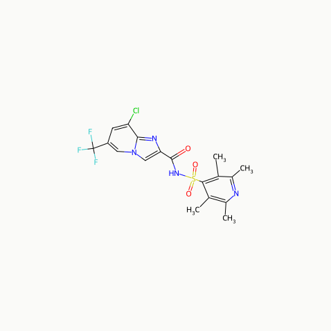 Cc1nc(C)c(C)c(S(=O)(=O)NC(=O)c2cn3cc(C(F)(F)F)cc(Cl)c3n2)c1C